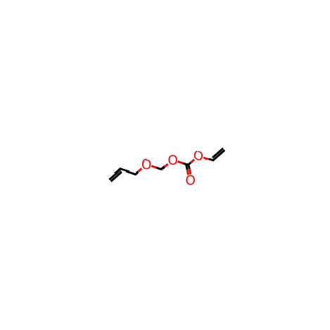 C=CCOCOC(=O)OC=C